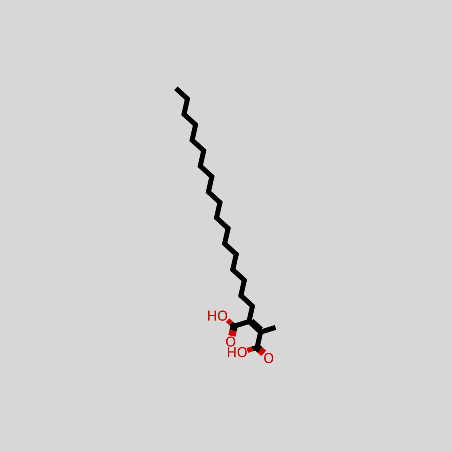 CCCCCCCCCCCCCCCCCC/C(C(=O)O)=C(\C)C(=O)O